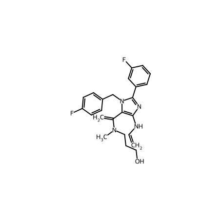 C=CNc1nc(-c2cccc(F)c2)n(Cc2ccc(F)cc2)c1C(=C)N(C)CCCO